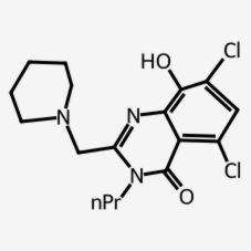 CCCn1c(CN2CCCCC2)nc2c(O)c(Cl)cc(Cl)c2c1=O